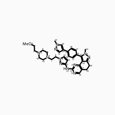 COCCN1CCN(CCn2ccc(Nc3ncc4c(n3)-c3c(nn(C)c3-c3ccc(-c5cnn(C)c5)cc3)CC4)n2)CC1